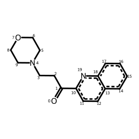 O=C(CCN1CCOCC1)c1ccc2ccccc2n1